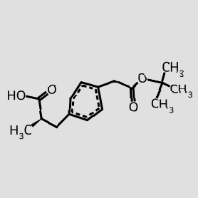 C[C@H](Cc1ccc(CC(=O)OC(C)(C)C)cc1)C(=O)O